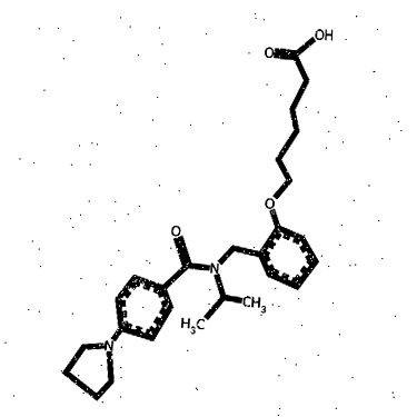 CC(C)N(Cc1ccccc1OCCCCCC(=O)O)C(=O)c1ccc(N2CCCC2)cc1